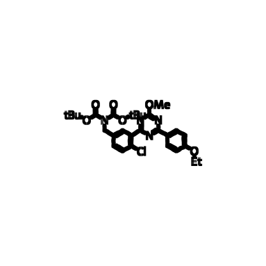 CCOc1ccc(-c2nc(OC)nc(-c3cc(CN(C(=O)OC(C)(C)C)C(=O)OC(C)(C)C)ccc3Cl)n2)cc1